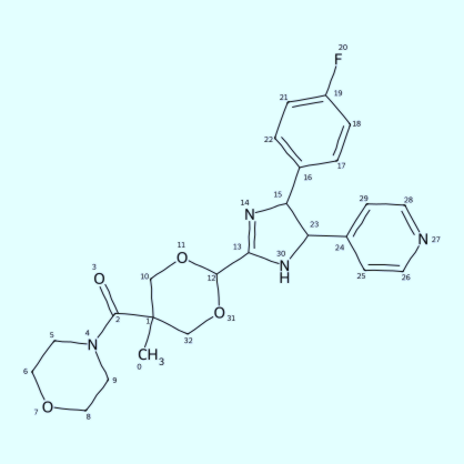 CC1(C(=O)N2CCOCC2)COC(C2=NC(c3ccc(F)cc3)C(c3ccncc3)N2)OC1